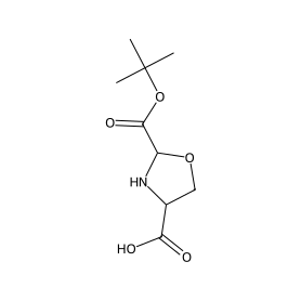 CC(C)(C)OC(=O)C1NC(C(=O)O)CO1